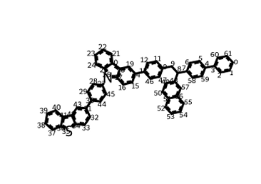 c1ccc(-c2ccc(C(Cc3ccc(-c4ccc5c(c4)c4ccccc4n5-c4ccc(-c5ccc6sc7ccccc7c6c5)cc4)cc3)c3ccc4ccccc4c3)cc2)cc1